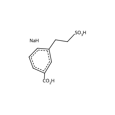 O=C(O)c1cccc(CCS(=O)(=O)O)c1.[NaH]